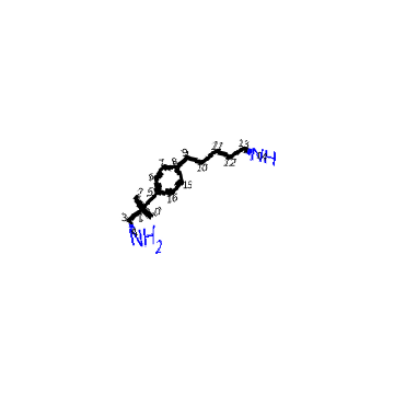 CC(C)(CN)c1ccc(CCCCC=N)cc1